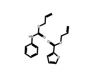 C=CCOC(=O)Nc1ccccc1.C=CCOC(=O)c1ccco1